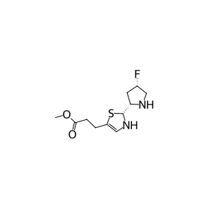 COC(=O)CCC1=CNC([C@@H]2C[C@H](F)CN2)S1